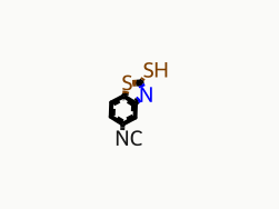 [C-]#[N+]c1ccc2sc(S)nc2c1